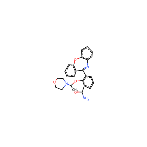 CC(Oc1c(C(N)=O)cccc1C1=Nc2ccccc2Oc2ccccc21)N1CCOCC1